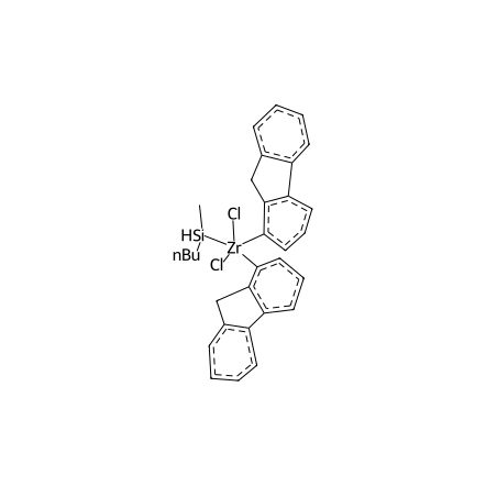 CCCC[SiH](C)[Zr]([Cl])([Cl])([c]1cccc2c1Cc1ccccc1-2)[c]1cccc2c1Cc1ccccc1-2